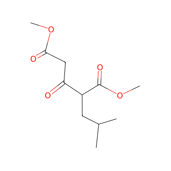 COC(=O)CC(=O)C(CC(C)C)C(=O)OC